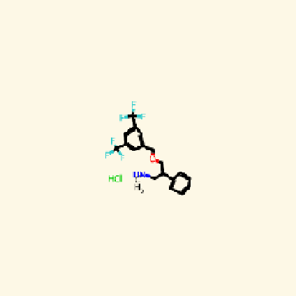 CNCC(COCc1cc(C(F)(F)F)cc(C(F)(F)F)c1)c1ccccc1.Cl